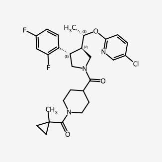 C[C@H](Oc1ccc(Cl)cn1)[C@H]1CN(C(=O)C2CCN(C(=O)C3(C)CC3)CC2)C[C@@H]1c1ccc(F)cc1F